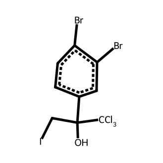 OC(CI)(c1ccc(Br)c(Br)c1)C(Cl)(Cl)Cl